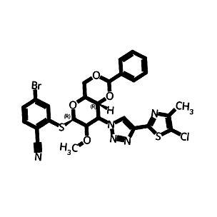 COC1C(n2cc(-c3nc(C)c(Cl)s3)nn2)[C@H]2OC(c3ccccc3)OCC2O[C@@H]1Sc1cc(Br)ccc1C#N